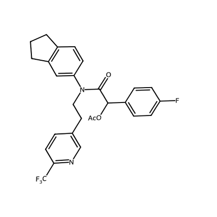 CC(=O)OC(C(=O)N(CCc1ccc(C(F)(F)F)nc1)c1ccc2c(c1)CCC2)c1ccc(F)cc1